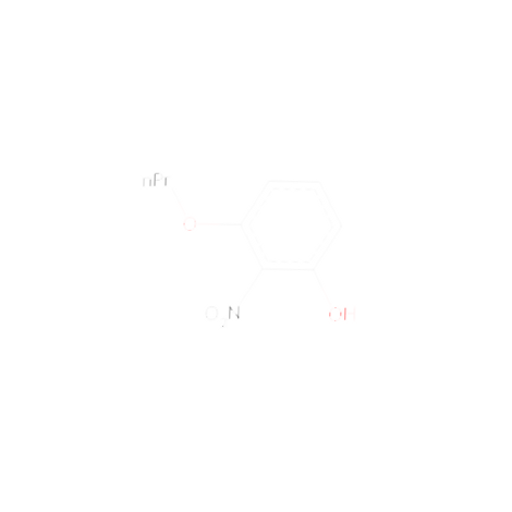 CCCOc1cccc(O)c1[N+](=O)[O-]